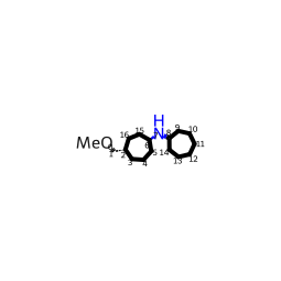 COC[C@H]1CCC[C@H](NC2CCCCCC2)CC1